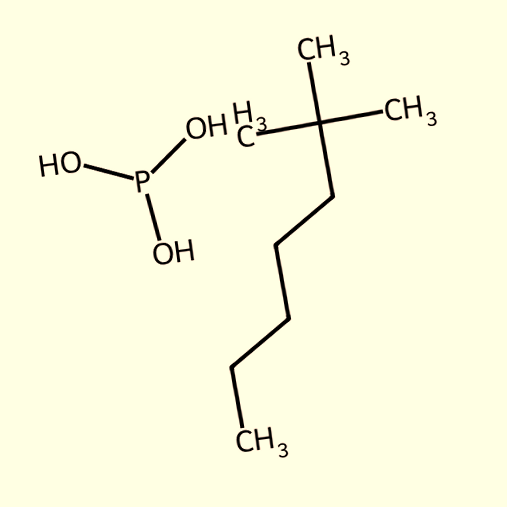 CCCCCC(C)(C)C.OP(O)O